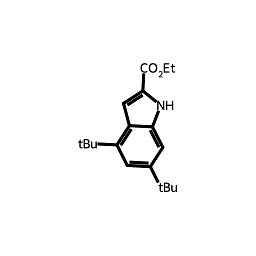 CCOC(=O)c1cc2c(C(C)(C)C)cc(C(C)(C)C)cc2[nH]1